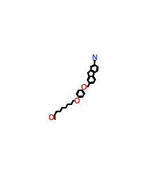 N#Cc1ccc2c(c1)Cc1cc(COc3ccc(OCCCCCCCC4CO4)cc3)ccc1-2